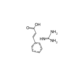 N=C(N)N.O=C(O)C=Cc1ccccc1